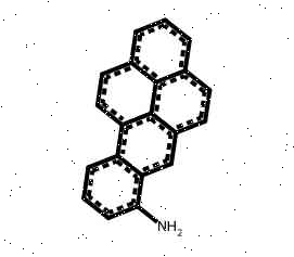 Nc1cccc2c1cc1ccc3cccc4ccc2c1c34